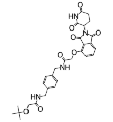 CC(C)(C)OCC(=O)NCc1ccc(CNC(=O)COc2cccc3c2C(=O)N(C2CCC(=O)NC2=O)C3=O)cc1